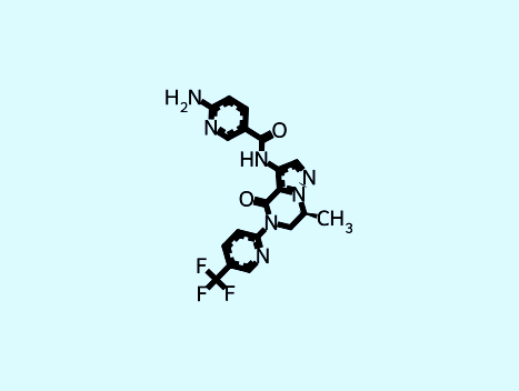 C[C@H]1CN(c2ccc(C(F)(F)F)cn2)C(=O)c2c(NC(=O)c3ccc(N)nc3)cnn21